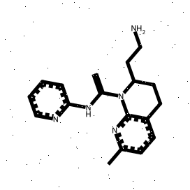 C=C(Nc1ccccn1)N1c2nc(C)ccc2CCC1CCN